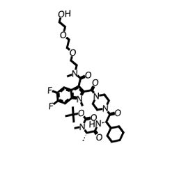 C[C@@H](C(=O)N[C@H](C(=O)N1CCN(C(=O)c2c(C(=O)N(C)CCOCCOCCO)c3cc(F)c(F)cc3n2C)CC1)C1CCCCC1)N(C)C(=O)OC(C)(C)C